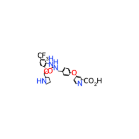 O=C(NCc1ccc(Oc2ccnc(C(=O)O)c2)cc1)Nc1cc(C(F)(F)F)ccc1OCC1CCCN1